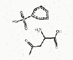 CC(=O)CC(N)C(=O)O.O=S(=O)(O)c1ccccc1